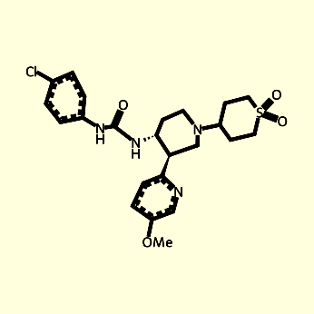 COc1ccc([C@@H]2CN(C3CCS(=O)(=O)CC3)CC[C@H]2NC(=O)Nc2ccc(Cl)cc2)nc1